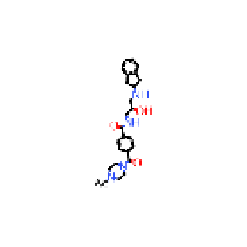 CC(=O)N1CCN(C(=O)c2ccc(C(=O)NCC(O)CNC3Cc4ccccc4C3)cc2)CC1